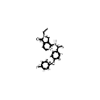 CCN1Cc2c(ccnc2NC(C)c2ccc(Oc3ccc(F)cc3)cc2)C1=O